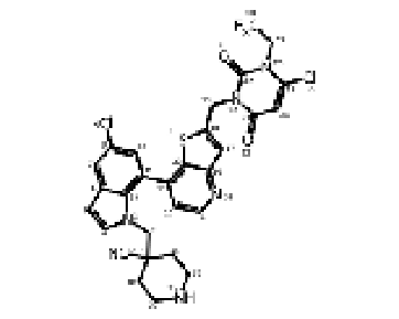 N#CC1(Cn2ccc3cc(Cl)cc(-c4ccnc5cc(Cn6c(=O)cc(Cl)n(CC(F)(F)F)c6=O)sc45)c32)CCNCC1